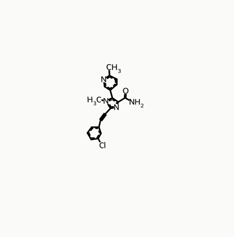 Cc1ccc(-c2c(C(N)=O)nc(C#Cc3cccc(Cl)c3)n2C)cn1